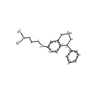 CCN(CC)CCCOc1cc2c(cn1)C(c1ccccc1)CNC2